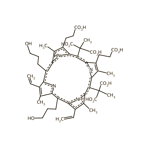 C=CC1=C(C)c2nc1c(CCCO)c1[nH]c(c(CCC(=O)O)c1C)c(C(C)(C(=O)O)C(=O)O)c1nc(c(C(C)(C(=O)O)C(=O)O)c3[nH]c(c(C=C)c3C)c2CCCO)C(C)=C1CCC(=O)O